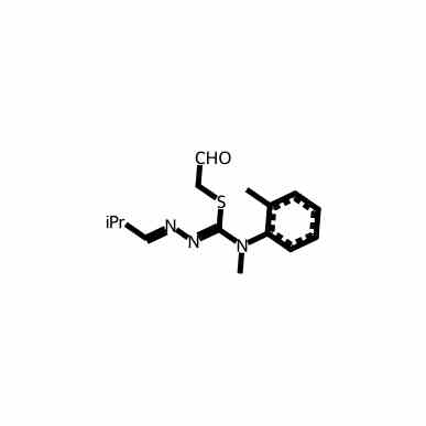 Cc1ccccc1N(C)/C(=N/N=C/C(C)C)SCC=O